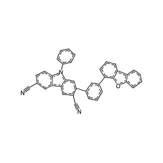 N#Cc1ccc2c(c1)c1cc(C#N)c(-c3cccc(-c4cccc5c4oc4ccccc45)c3)cc1n2-c1ccccc1